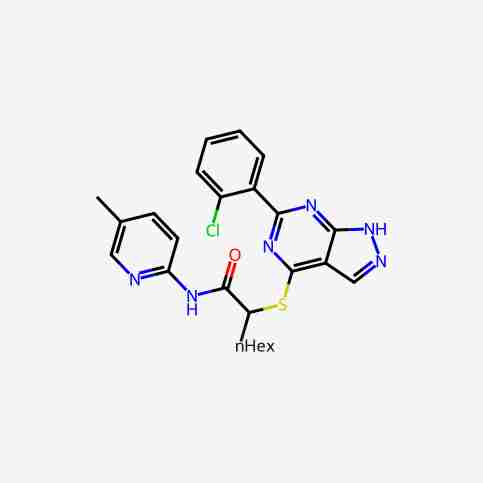 CCCCCCC(Sc1nc(-c2ccccc2Cl)nc2[nH]ncc12)C(=O)Nc1ccc(C)cn1